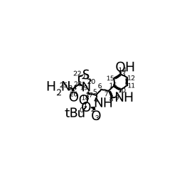 CC(C)(C)OC(=O)NC(Cc1c[nH]c2ccc(O)cc12)C(=O)N1CSCC1C(N)=O